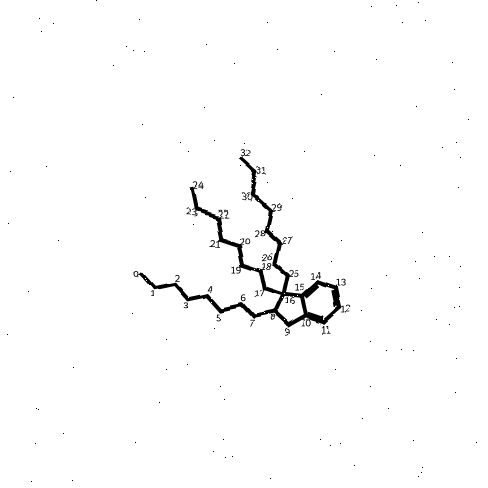 CCCCCCCCC1Cc2ccccc2C1(CCCCCCCC)CCCCCCCC